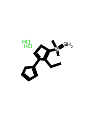 CCC1=[C]([Zr]([CH3])([CH3])=[SiH2])CC=C1C1=CC=CC1.Cl.Cl